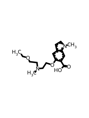 CCOCCN(C)CCOc1cc2ccn(C)c2cc1C(=O)O